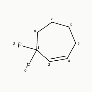 FC1(F)C=CCCCC1